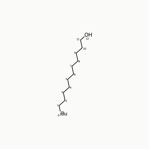 CCC(C)CCCCCCCCCCCO